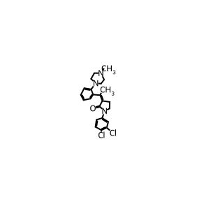 CC(=C1CCN(c2ccc(Cl)c(Cl)c2)C1=O)c1ccccc1N1CCN(C)CC1